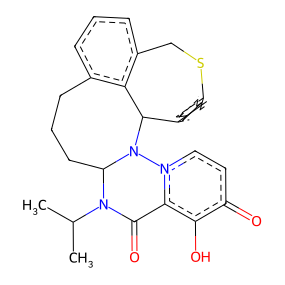 CC(C)N1C(=O)c2c(O)c(=O)ccn2N2C3c4ccccc4SCc4cccc(c43)CCCC12